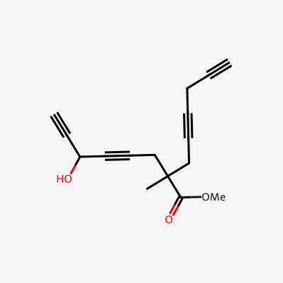 C#CCC#CCC(C)(CC#CC(O)C#C)C(=O)OC